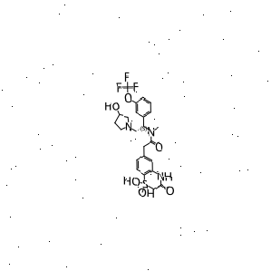 CN(C(=O)Cc1ccc2c(c1)NC(=O)CS2(O)O)[C@H](CN1CCC(O)C1)c1cccc(OC(F)(F)F)c1